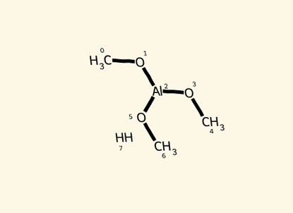 C[O][Al]([O]C)[O]C.[HH]